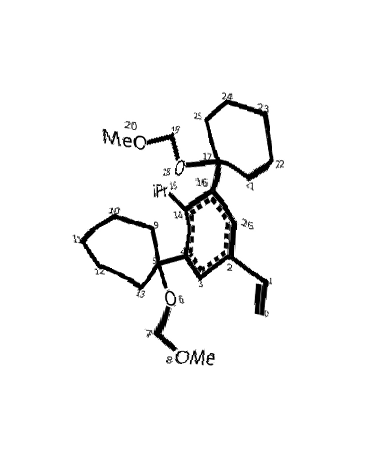 C=Cc1cc(C2(OCOC)CCCCC2)c(C(C)C)c(C2(OCOC)CCCCC2)c1